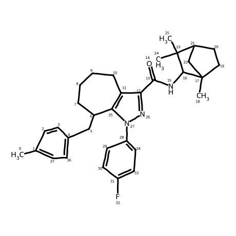 Cc1ccc(CC2CCCCc3c(C(=O)NC4C5(C)CCC(C5)C4(C)C)nn(-c4ccc(F)cc4)c32)cc1